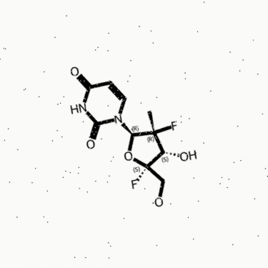 C[C@]1(F)[C@H](n2ccc(=O)[nH]c2=O)O[C@](F)(C[O])[C@H]1O